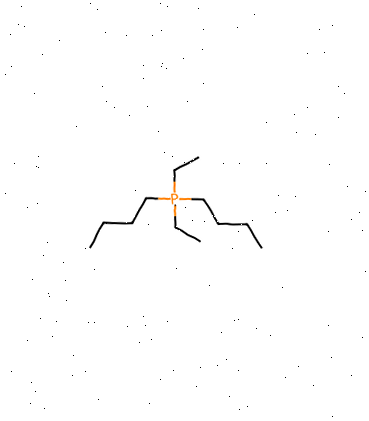 CCCC[P](CC)(CC)CCCC